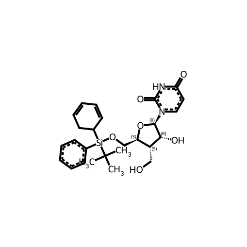 CC(C)(C)[Si](OC[C@H]1O[C@@H](n2ccc(=O)[nH]c2=O)[C@H](O)[C@@H]1CO)(c1ccccc1)C1C=CC=CC1